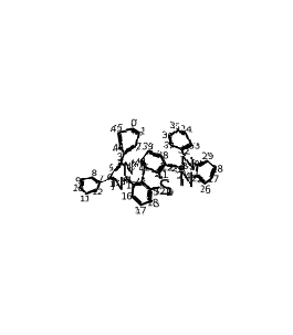 c1ccc(-c2cc(-c3ccccc3)nc(-c3cccc4sc5c(-c6nc7ccccc7n6-c6ccccc6)cccc5c34)n2)cc1